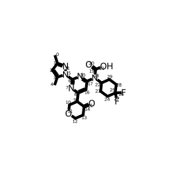 Cc1cc(C)n(-c2nc(C3COCCC3=O)cc(N(C(=O)O)C3CCC(F)(F)CC3)n2)n1